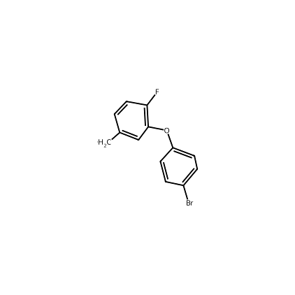 [CH2]c1ccc(F)c(Oc2ccc(Br)cc2)c1